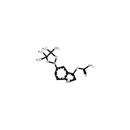 CC1(C)OB(c2ccc3[nH]cc(OC(N)=O)c3c2)OC1(C)C